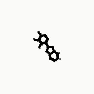 Cc1ccc(C2[C]C3C=CC=CC3C2)c(C)c1C